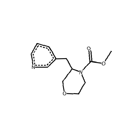 COC(=O)N1CCOCC1Cc1cccnc1